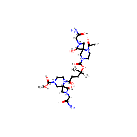 CC(C)C(=O)N1CCN(C(=O)OC(C)(C)CCC(=O)N2CCN(C(=O)OC(C)(C)C)CC23CN(CC(N)=O)C3=O)CC12CN(CC(N)=O)C2O